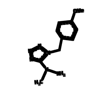 COc1ccc(Cn2nnnc2N(C)N)cc1